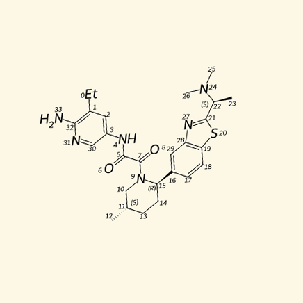 CCc1cc(NC(=O)C(=O)N2C[C@@H](C)CC[C@@H]2c2ccc3sc([C@H](C)N(C)C)nc3c2)cnc1N